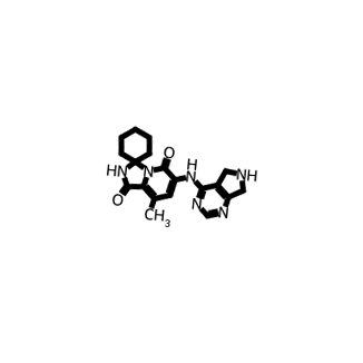 Cc1cc(Nc2ncnc3c2CNC3)c(=O)n2c1C(=O)NC21CCCCC1